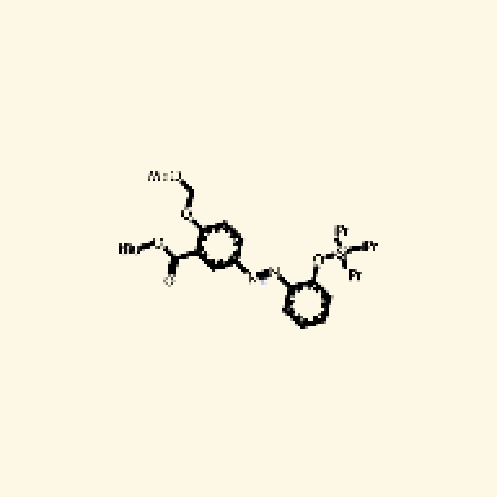 COCOc1ccc(/N=N/c2ccccc2O[Si](C(C)C)(C(C)C)C(C)C)cc1C(=O)OC(C)(C)C